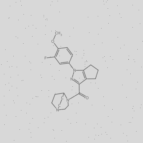 COc1ccc(-n2nc(C(=O)N3CCN4CCC3CC4)c3c2CCC3)cc1F